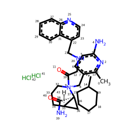 Cc1nc(N)ccc1C[N+]1(C(=O)[C@@H](CC2CCCCC2)NCc2ccnc3ccccc23)CCC[C@@H]2C[C@@]21C(N)=O.Cl.Cl